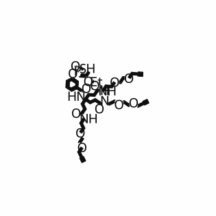 C#CCOCCOCCNC(=O)CCC(CCC(=O)NCCOCCOCC#C)(CCC(=O)NCCOCCOCC#C)NC(=O)c1cccc(OP(=O)(S)/C=C(\C)OCC)c1